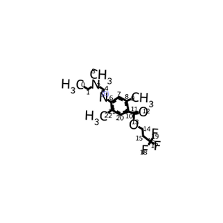 CCN(C)/C=N/c1cc(C)c(C(=O)OCCC(F)(F)F)cc1C